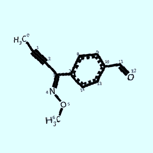 CC#C/C(=N/OC)c1ccc(C=O)cc1